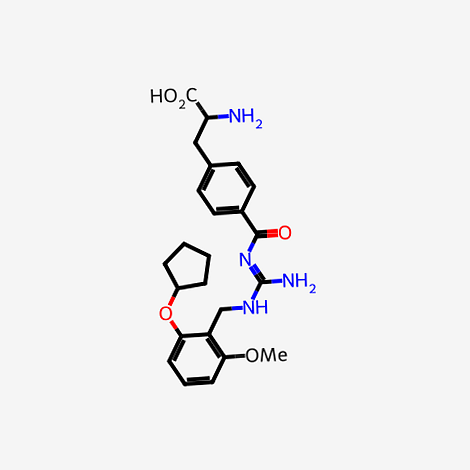 COc1cccc(OC2CCCC2)c1CNC(N)=NC(=O)c1ccc(CC(N)C(=O)O)cc1